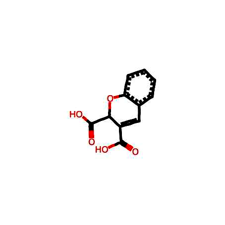 O=C(O)C1=Cc2ccccc2OC1C(=O)O